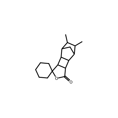 CC1C(C)C2CC1C1C3C(=O)OC4(CCCCC4)C3C21